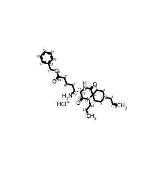 C=CCN1CCC2(CC1)C(=O)N[C@@H](C(N)CCCC(=O)OCc1ccccc1)C(=O)N2CCC.Cl